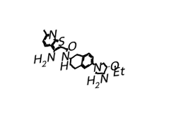 CCO[C@H]1CN(c2ccc3c(c2)CC[C@H](NC(=O)c2sc4nc(C)ccc4c2N)C3)C[C@H]1N